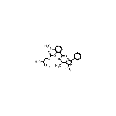 COc1ccnc(C(=O)N[C@@H](C)c2nc(-c3ccccc3)nn2C)c1OC(=O)OCC(C)C